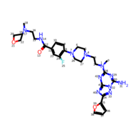 CN(CCN1CCN(c2ccc(C(=O)NCCN(C)C3COC3)cc2F)CC1)c1nc(N)n2nc(-c3ccco3)nc2n1